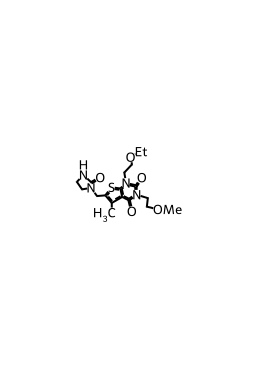 CCOCCn1c(=O)n(CCOC)c(=O)c2c(C)c(CN3CCNC3=O)sc21